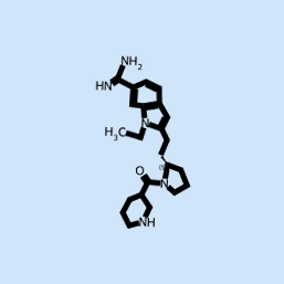 CCn1c(CC[C@@H]2CCCN2C(=O)C2CCCNC2)cc2ccc(C(=N)N)cc21